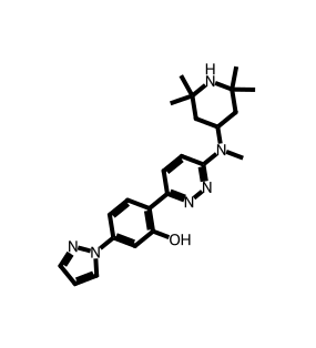 CN(c1ccc(-c2ccc(-n3cccn3)cc2O)nn1)C1CC(C)(C)NC(C)(C)C1